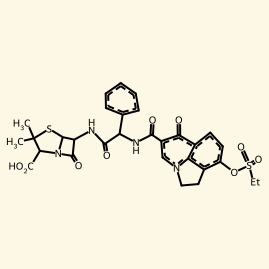 CCS(=O)(=O)Oc1ccc2c(=O)c(C(=O)NC(C(=O)NC3C(=O)N4C3SC(C)(C)C4C(=O)O)c3ccccc3)cn3c2c1CC3